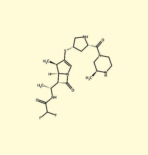 C[C@H]1CN(C(=O)[C@@H]2C[C@H](SC3=CN4C(=O)[C@H]([C@@H](C)NC(=O)C(F)F)[C@H]4[C@H]3C)CN2)CCN1